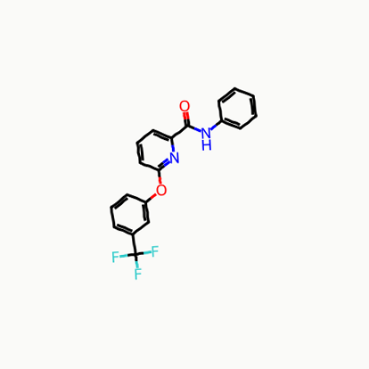 O=C(Nc1ccccc1)c1cccc(Oc2cccc(C(F)(F)F)c2)n1